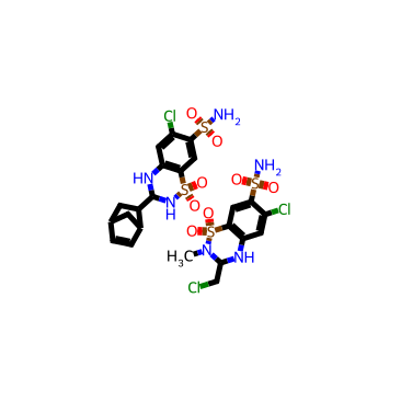 CN1C(CCl)Nc2cc(Cl)c(S(N)(=O)=O)cc2S1(=O)=O.NS(=O)(=O)c1cc2c(cc1Cl)NC(C1CC3C=CC1C3)NS2(=O)=O